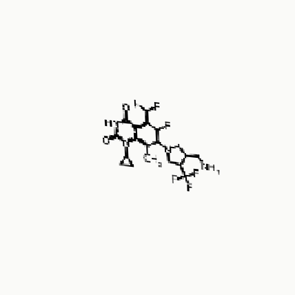 CC1=c2c(c(=O)[nH]c(=O)n2C2CC2)=C(C(F)F)C(F)C1N1CC(CN)C(C(F)(F)F)C1